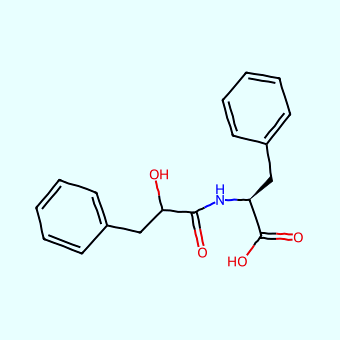 O=C(N[C@@H](Cc1ccccc1)C(=O)O)C(O)Cc1ccccc1